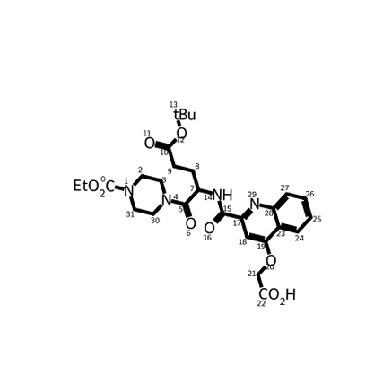 CCOC(=O)N1CCN(C(=O)C(CCC(=O)OC(C)(C)C)NC(=O)c2cc(OCC(=O)O)c3ccccc3n2)CC1